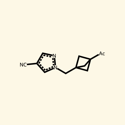 CC(=O)C12CC(Cn3cc(C#N)cn3)(C1)C2